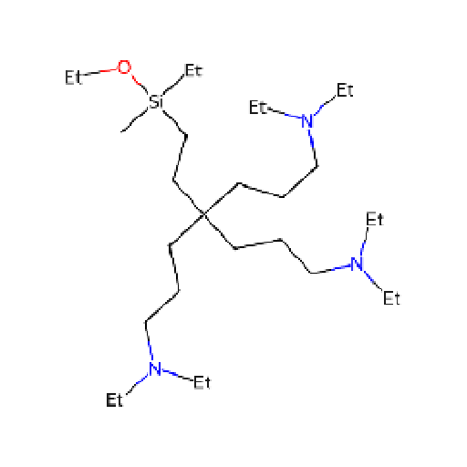 CCO[Si](C)(CC)CCC(CCCN(CC)CC)(CCCN(CC)CC)CCCN(CC)CC